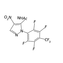 CC(=O)Nc1c([N+](=O)[O-])cnn1-c1c(F)c(F)c(C(F)(F)F)c(F)c1F